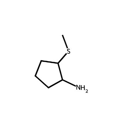 CSC1CCCC1N